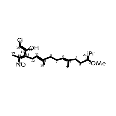 COC(CC/C(C)=C/CC/C(C)=C/CC(/C(O)=C/Cl)=C(/C)N=O)C(C)C